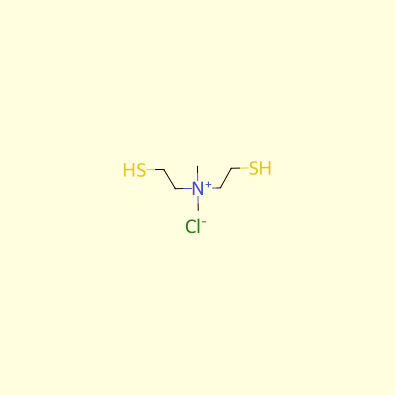 C[N+](C)(CCS)CCS.[Cl-]